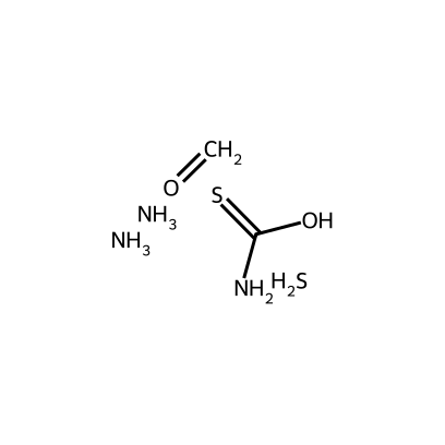 C=O.N.N.NC(O)=S.S